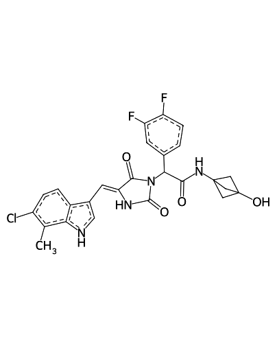 Cc1c(Cl)ccc2c(/C=C3\NC(=O)N(C(C(=O)NC45CC(O)(C4)C5)c4ccc(F)c(F)c4)C3=O)c[nH]c12